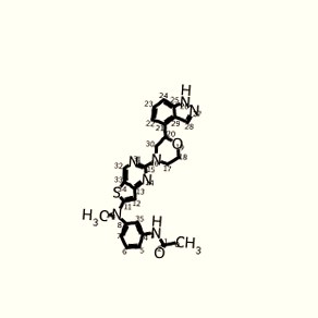 CC(=O)Nc1cccc(N(C)c2cc3nc(N4CCOC(c5cccc6[nH]ncc56)C4)ncc3s2)c1